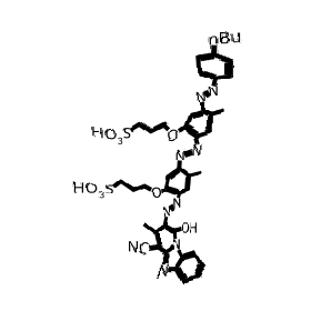 CCCCc1ccc(N=Nc2cc(OCCCS(=O)(=O)O)c(N=Nc3cc(OCCCS(=O)(=O)O)c(N=Nc4c(C)c(C#N)c5nc6ccccc6n5c4O)cc3C)cc2C)cc1